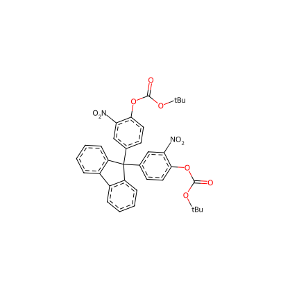 CC(C)(C)OC(=O)Oc1ccc(C2(c3ccc(OC(=O)OC(C)(C)C)c([N+](=O)[O-])c3)c3ccccc3-c3ccccc32)cc1[N+](=O)[O-]